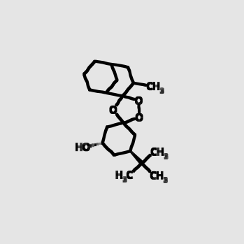 CC1CC2CCCC(C2)C12OOC1(C[C@@H](O)C[C@H](C(C)(C)C)C1)O2